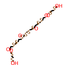 O=C(CCSCSCCC[S+]([O-])CCSCSCCSC(=O)CCSCSCCCOOCSCCSCO)OCSCCSCO